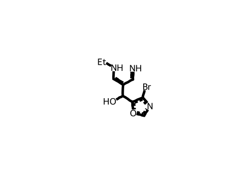 CCN/C=C(\C=N)C(O)c1ocnc1Br